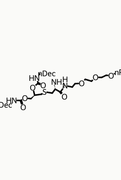 CCCCCCCCCCNC(=O)OC[C@H](CSC[C@H](N)C(=O)NCCOCCOCCOCCC)OC(=O)NCCCCCCCCCC